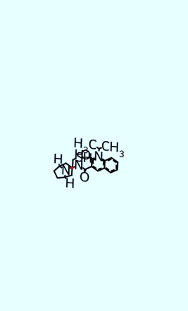 CC(C)n1c(=O)c(C(=O)NC2C[C@H]3CC[C@@H](C2)N3CCS)cc2ccccc21